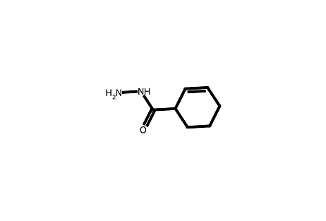 NNC(=O)C1C=CCCC1